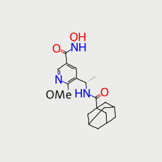 COc1ncc(C(=O)NO)cc1[C@H](C)NC(=O)C12CC3CC(CC(C3)C1)C2